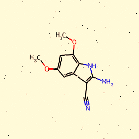 COc1cc(OC)c2[nH]c(N)c(C#N)c2c1